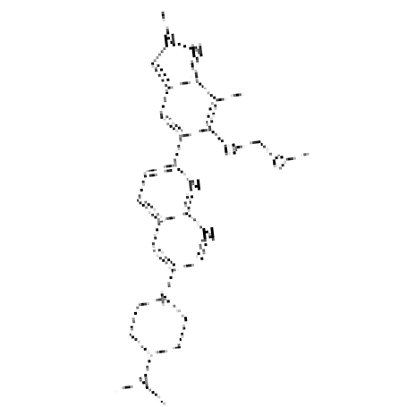 COCOc1c(-c2ccc3cc(N4CCC(N(C)C)CC4)cnc3n2)cc2cn(C)nc2c1C